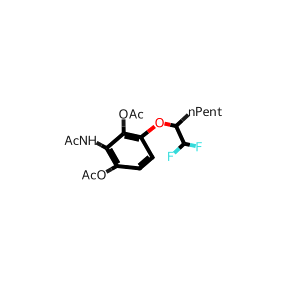 CCCCCC(Oc1ccc(OC(C)=O)c(NC(C)=O)c1OC(C)=O)C(F)F